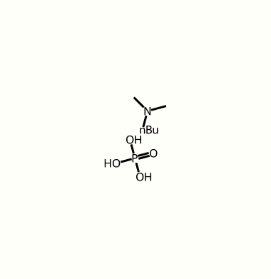 CCCCN(C)C.O=P(O)(O)O